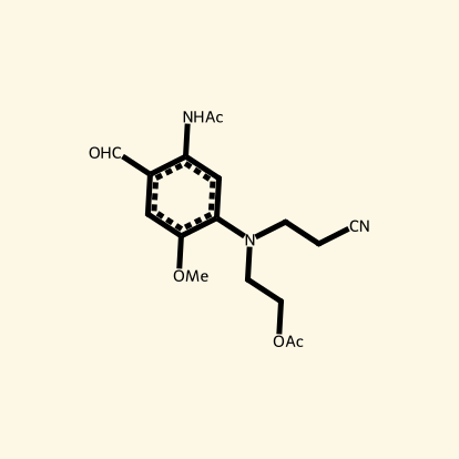 COc1cc(C=O)c(NC(C)=O)cc1N(CCC#N)CCOC(C)=O